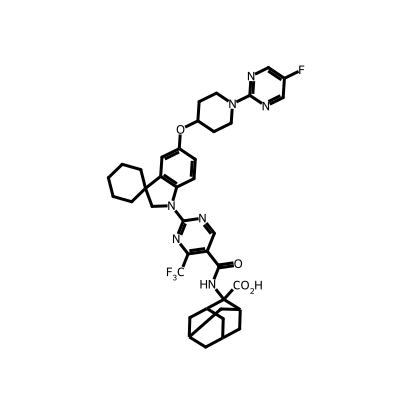 O=C(NC1(C(=O)O)C2CC3CC(C2)CC1C3)c1cnc(N2CC3(CCCCC3)c3cc(OC4CCN(c5ncc(F)cn5)CC4)ccc32)nc1C(F)(F)F